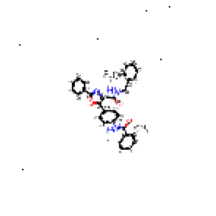 Cc1ccccc1C(=O)Nc1ccc(-c2oc(-c3ccccc3)nc2C(=O)NCc2ccccc2C(F)(F)F)cc1